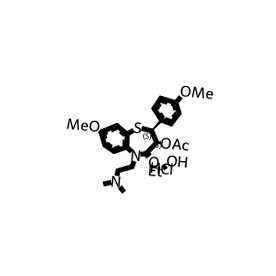 CCO.COc1ccc([C@@H]2Sc3cc(OC)ccc3N(CCN(C)C)C(=O)[C@@H]2OC(C)=O)cc1.Cl